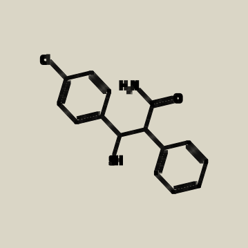 NC(=O)C(c1ccccc1)C(S)c1ccc(Cl)cc1